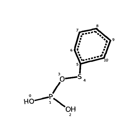 OP(O)OSc1ccccc1